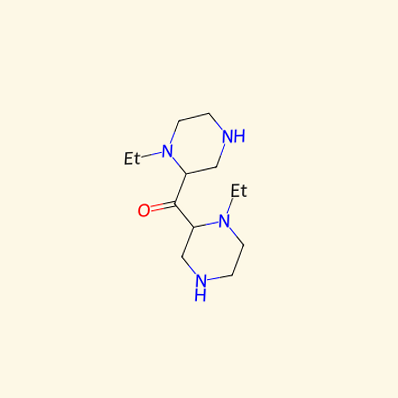 CCN1CCNCC1C(=O)C1CNCCN1CC